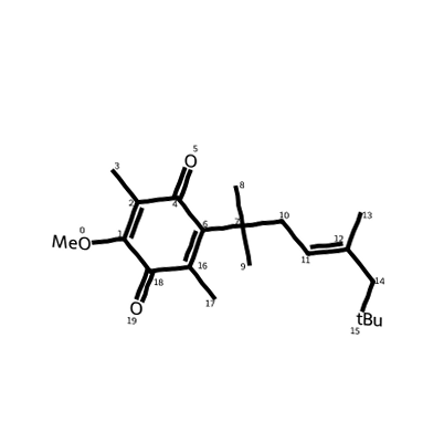 COC1=C(C)C(=O)C(C(C)(C)C/C=C(\C)CC(C)(C)C)=C(C)C1=O